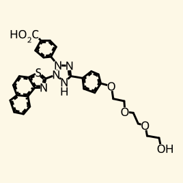 O=C(O)c1ccc(N2N=C(c3ccc(OCCOCCOCCO)cc3)NN2c2nc3c(ccc4ccccc43)s2)cc1